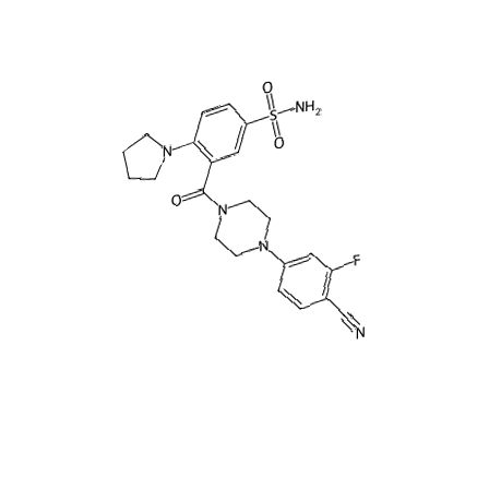 N#Cc1ccc(N2CCN(C(=O)c3cc(S(N)(=O)=O)ccc3N3CCCC3)CC2)cc1F